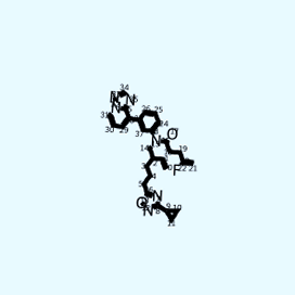 C=CC(CCCc1nc(C2CC2)no1)CN(C(=O)CCC(=C)F)c1cccc(-c2cccn3ncnc23)c1